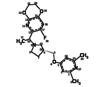 Cc1cc(OC[C@@H]2CCN(C(C)c3nc4c(cc3F)OCCO4)C2)cc(C)n1